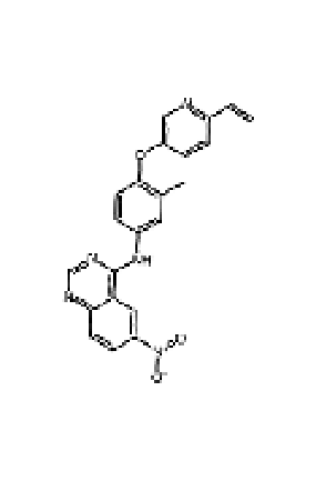 C=Cc1ccc(Oc2ccc(Nc3ncnc4ccc([N+](=O)[O-])cc34)cc2C)cn1